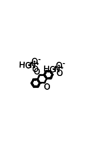 O=C1c2ccccc2C(=O)c2ccccc21.O=[N+]([O-])O.O=[N+]([O-])O